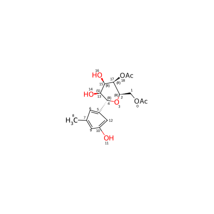 CC(=O)OC[C@H]1O[C@H](c2cc(C)cc(O)c2)[C@@H](O)[C@@H](O)[C@H]1OC(C)=O